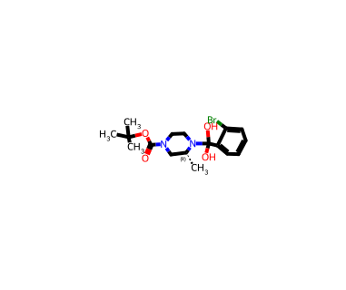 C[C@@H]1CN(C(=O)OC(C)(C)C)CCN1C(O)(O)c1ccccc1Br